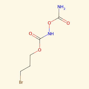 NC(=O)ONC(=O)OCCCBr